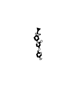 Cn1c(C2CC2)nc2ccc(-n3ccc(OCc4ccc(Br)cn4)cc3=O)cc21